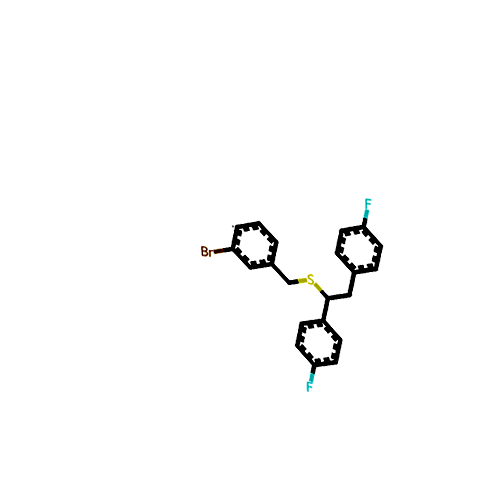 Fc1ccc(CC(SCc2cc[c]c(Br)c2)c2ccc(F)cc2)cc1